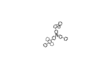 c1ccc(-c2ccc(N(c3ccc(-c4c5c(c(-c6ccccc6)c6c4CCCC6)CCCC5)cc3)c3ccc(-c4cccc5c4oc4ccccc45)cc3)cc2)cc1